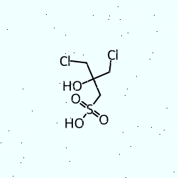 O=S(=O)(O)CC(O)(CCl)CCl